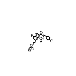 O=C(CBr)OCCCc1cc(F)c2ncc(C(=O)NCc3ccc(Cl)cc3)c(O)c2c1